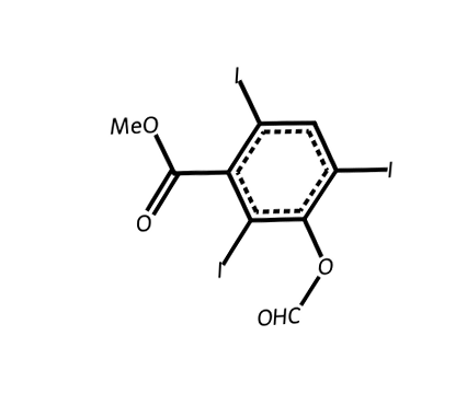 COC(=O)c1c(I)cc(I)c(OC=O)c1I